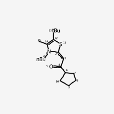 CCCCN1C(=CC(=O)C2CCCC2)SC(C(C)(C)C)=C1C